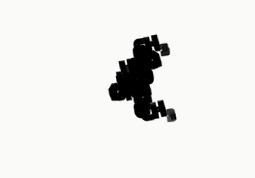 COc1ccc(C[C@@H](NC(=O)Nc2ccccc2OC)c2nc3ccccc3[nH]2)cc1